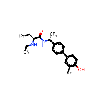 CC(=O)c1cc(-c2ccc([C@H](NC(=O)[C@H](CC(C)C)NCC#N)C(F)(F)F)cc2)ccc1O